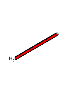 BB=BB=BB=BB=BB=BB=BB=BB=BB=BB=BB=BB=BB=BB=BB=BB=BB=BB=BB=BB=BB=BB=BB=BB=BB=BB=BB=BB=BB=BB=BB=BB=BB=BB=BB=BB=BOCC